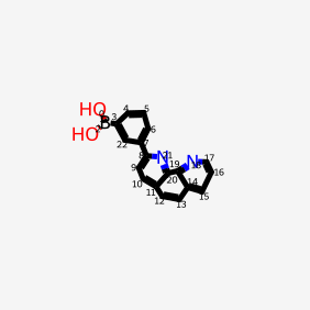 OB(O)c1cccc(-c2ccc3ccc4cccnc4c3n2)c1